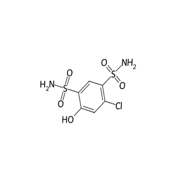 NS(=O)(=O)c1cc(S(N)(=O)=O)c(Cl)cc1O